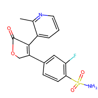 Cc1ncccc1C1=C(c2ccc(S(N)(=O)=O)c(F)c2)COC1=O